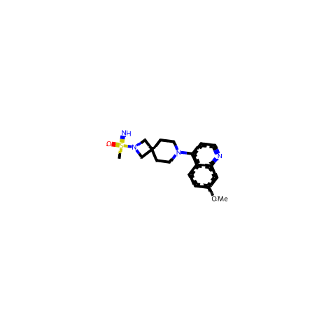 COc1ccc2c(N3CCC4(CC3)CN(S(C)(=N)=O)C4)ccnc2c1